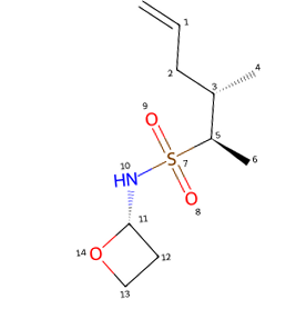 C=CC[C@H](C)[C@@H](C)S(=O)(=O)N[C@@H]1CCO1